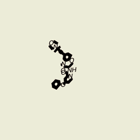 CN1C(=O)C(NC(=O)c2cc(Oc3ccccc3)ccn2)COc2ccc(C#CC(C)(C)N3CCOCC3)cc21